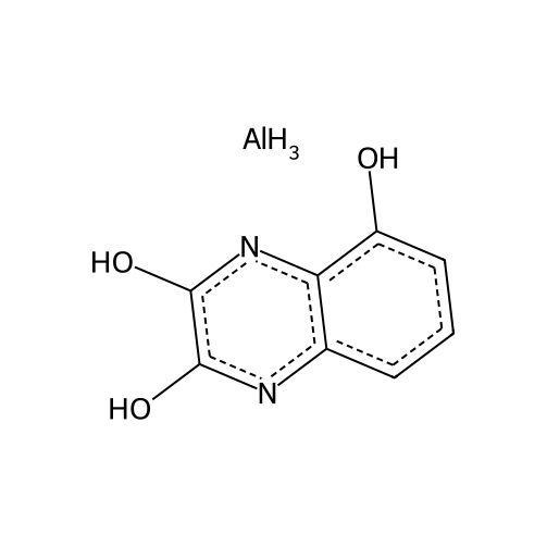 Oc1nc2cccc(O)c2nc1O.[AlH3]